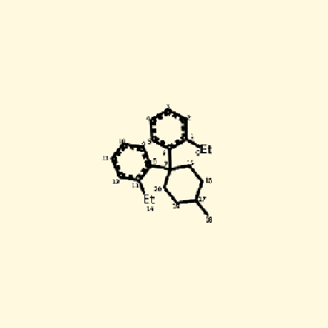 CCc1ccccc1C1(c2ccccc2CC)CCC(C)CC1